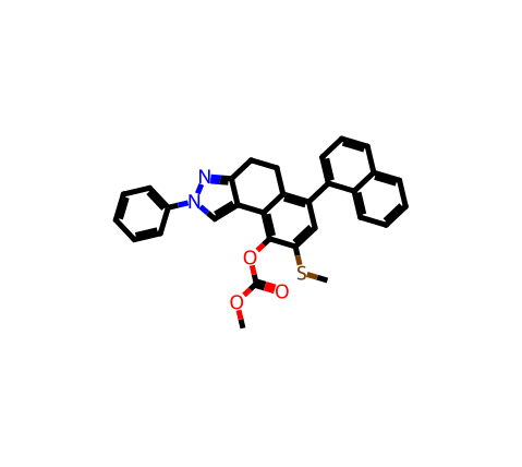 COC(=O)Oc1c(SC)cc(-c2cccc3ccccc23)c2c1-c1cn(-c3ccccc3)nc1CC2